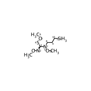 CON=C(SOC)N(CCC[SiH3])OC